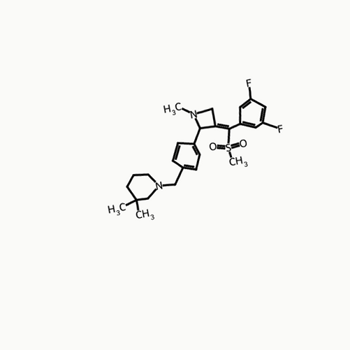 CN1CC(=C(c2cc(F)cc(F)c2)S(C)(=O)=O)C1c1ccc(CN2CCCC(C)(C)C2)cc1